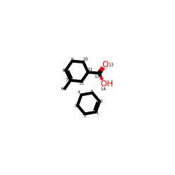 C1=CCCCC1.CC1=CCCC(C(=O)O)C1